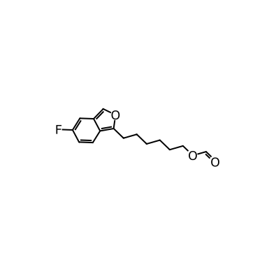 O=COCCCCCCc1occ2cc(F)ccc12